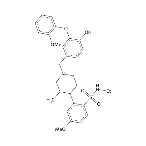 CCNS(=O)(=O)c1ccc(OC)cc1C1CCN(Cc2ccc(O)c(Oc3ccccc3OC)c2)CC1C